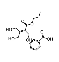 CCCOC(=O)C(CO)=C(CO)CO.O=C(O)c1ccccc1